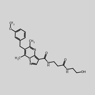 Cc1nc2c(C(=O)NCCC(=O)NCCO)cnn2c(C)c1Cc1cccc(OC(F)(F)F)c1